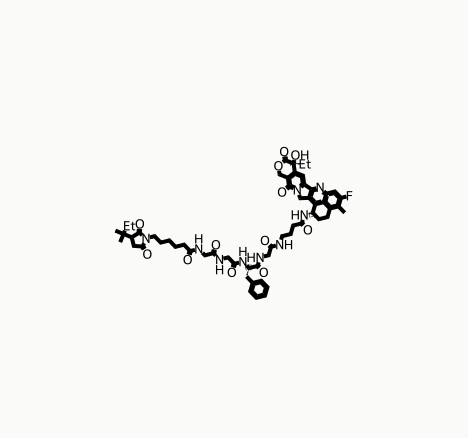 CCC(C)(C)C1CC(=O)N(CCCCCC(=O)NCC(=O)NCC(=O)N[C@@H](Cc2ccccc2)C(=O)NCC(=O)NCCCC(=O)N[C@H]2CCc3c(C)c(F)cc4nc5c(c2c34)Cn2c-5cc3c(c2=O)COC(=O)[C@]3(O)CC)C1=O